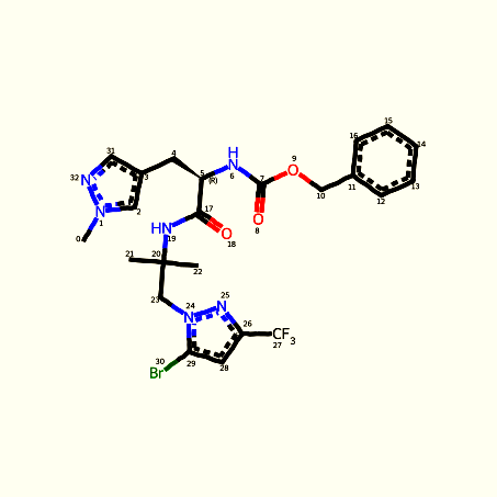 Cn1cc(C[C@@H](NC(=O)OCc2ccccc2)C(=O)NC(C)(C)Cn2nc(C(F)(F)F)cc2Br)cn1